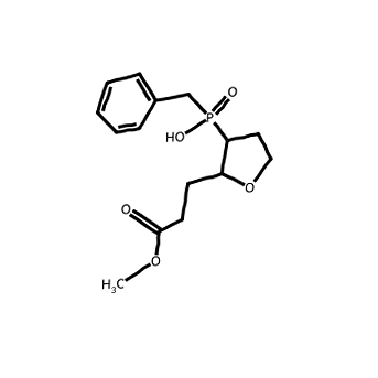 COC(=O)CCC1OCCC1P(=O)(O)Cc1ccccc1